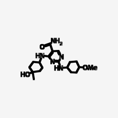 COC1CCC(Nc2ncc(C(N)=O)c(NC3CCC(C)(O)CC3)n2)CC1